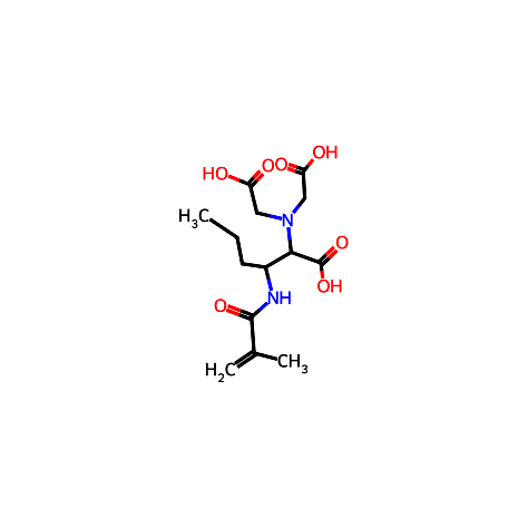 C=C(C)C(=O)NC(CCC)C(C(=O)O)N(CC(=O)O)CC(=O)O